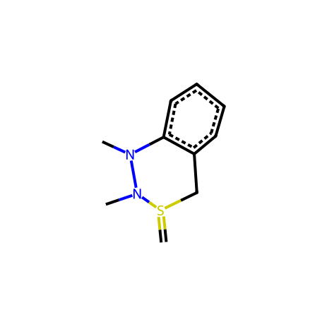 C=S1Cc2ccccc2N(C)N1C